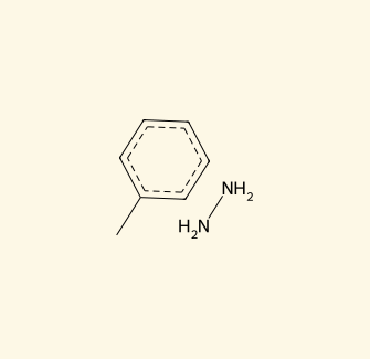 Cc1ccccc1.NN